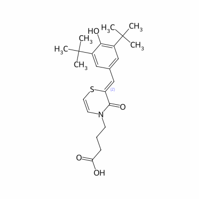 CC(C)(C)c1cc(/C=C2\SC=CN(CCCC(=O)O)C2=O)cc(C(C)(C)C)c1O